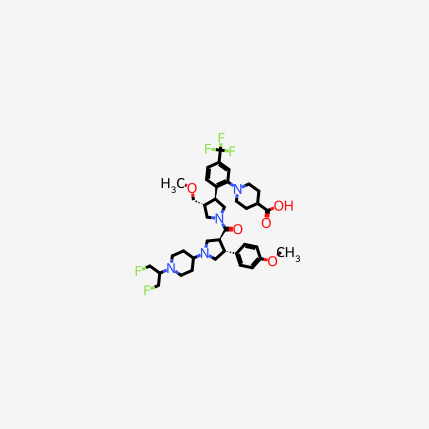 COC[C@H]1CN(C(=O)[C@@H]2CN(C3CCN(C(CF)CF)CC3)C[C@H]2c2ccc(OC)cc2)C[C@@H]1c1ccc(C(F)(F)F)cc1N1CCC(C(=O)O)CC1